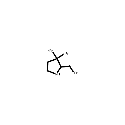 CCCC1(CCC)CCNC1CC(C)C